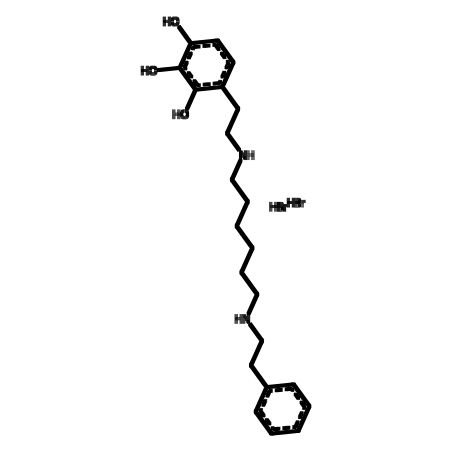 Br.Br.Oc1ccc(CCNCCCCCCNCCc2ccccc2)c(O)c1O